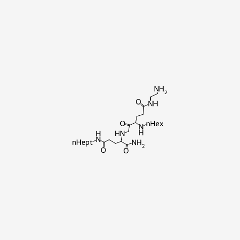 CCCCCCCNC(=O)CCC(NCC(=O)C(CCC(=O)NCCN)NCCCCCC)C(N)=O